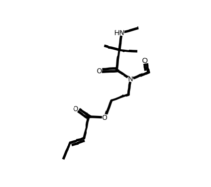 C/C=C/C(=O)OCCN(C=O)C(=O)C(C)(C)NC